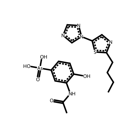 CC(=O)Nc1cc([As](=O)(O)O)ccc1O.CCCCc1ncc(-n2cncn2)s1